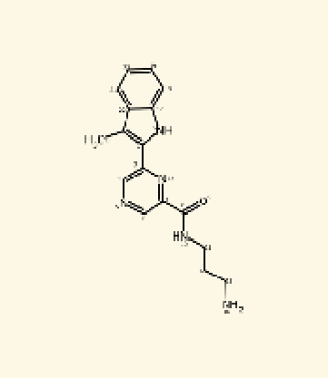 Cc1c(-c2cncc(C(=O)NCCCN)n2)[nH]c2ccccc12